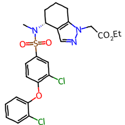 CCOC(=O)Cn1ncc2c1CCC[C@H]2N(C)S(=O)(=O)c1ccc(Oc2ccccc2Cl)c(Cl)c1